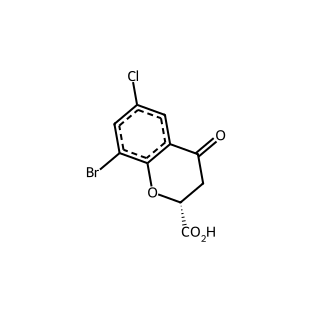 O=C1C[C@H](C(=O)O)Oc2c(Br)cc(Cl)cc21